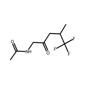 CC(=O)NCC(=O)CC(C)C(F)(F)F